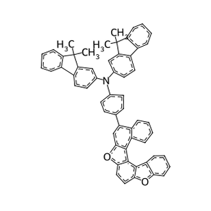 CC1(C)c2ccccc2-c2ccc(N(c3ccc(-c4cc5oc6ccc7oc8ccccc8c7c6c5c5ccccc45)cc3)c3ccc4c(c3)C(C)(C)c3ccccc3-4)cc21